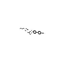 CCCCN1CC(=O)N(CC(CS(=O)(=O)c2ccc(-c3ccc(C#N)cc3)cc2)C(=O)O)C1=O